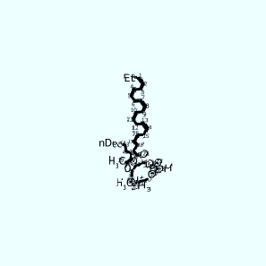 CC/C=C\C/C=C\C/C=C\C/C=C\C/C=C\C/C=C\CCC(=O)OC1COP(=O)(O)OCC[N+](C)(C)CC1OC(C)CCCCCCCCCCCCCC